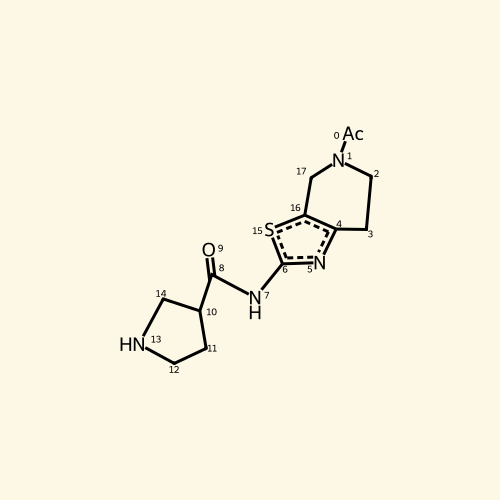 CC(=O)N1CCc2nc(NC(=O)C3CCNC3)sc2C1